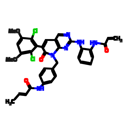 C=CC(=O)Nc1ccccc1Nc1ncc2cc(-c3c(Cl)c(OC)cc(OC)c3Cl)c(=O)n(Cc3ccc(NC(=O)/C=C/C)cc3)c2n1